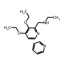 CCNCc1nccc(OCC)c1OCC.c1ccncc1